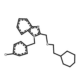 Clc1ccc(Cn2c(COCCC3CCCCC3)nc3ccccc32)cc1